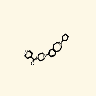 O=C(c1ccncc1)N1CCN(c2ccc3c(c2)CCN(C2CCCC2)CC3)CC1